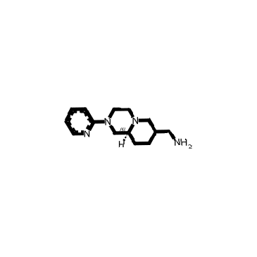 NCC1CC[C@H]2CN(c3ccccn3)CCN2C1